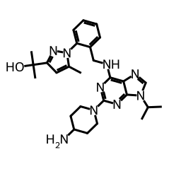 Cc1cc(C(C)(C)O)nn1-c1ccccc1CNc1nc(N2CCC(N)CC2)nc2c1ncn2C(C)C